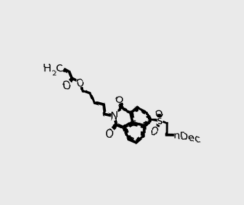 C=CC(=O)OCCCCCN1C(=O)c2cccc3c(S(=O)(=O)CCCCCCCCCCCC)ccc(c23)C1=O